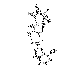 [O]c1cccc2ccc(N3CCC(Nc4c(F)c(F)c(F)c(F)c4F)CC3)nc12